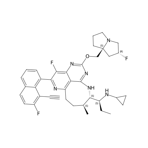 C#Cc1c(F)ccc2cccc(-c3nc4c5c(nc(OC[C@@]67CCCN6C[C@H](F)C7)nc5c3F)N[C@H]([C@H](CC)NC3CC3)[C@@H](C)CC4)c12